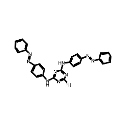 [3H]c1nc(Nc2ccc(N=Nc3ccccc3)cc2)nc(Nc2ccc(N=Nc3ccccc3)cc2)n1